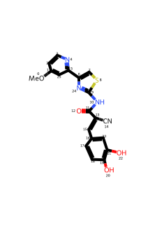 COc1ccnc(-c2csc(NC(=O)/C(C#N)=C/c3ccc(O)c(O)c3)n2)c1